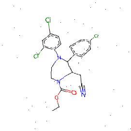 CCOC(=O)N1CCN(c2ccc(Cl)cc2Cl)C(c2ccc(Cl)cc2)C1CC#N